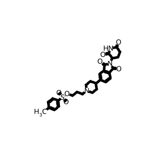 Cc1ccc(S(=O)(=O)OCCCN2CCC(c3ccc4c(c3)C(=O)N(C3CCC(=O)NC3=O)C4=O)CC2)cc1